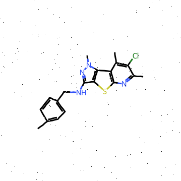 Cc1ccc(CNc2nn(C)c3c2sc2nc(C)c(Cl)c(C)c23)cc1